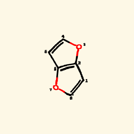 [c]1cc2occc2o1